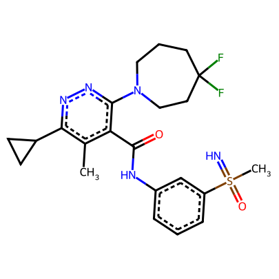 Cc1c(C2CC2)nnc(N2CCCC(F)(F)CC2)c1C(=O)Nc1cccc(S(C)(=N)=O)c1